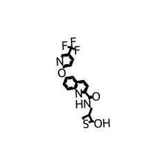 O=C(NCC1CSC1O)c1ccc2cc(Oc3ccc(C(F)(F)F)cn3)ccc2n1